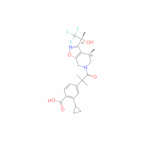 C[C@H]1CN(C(=O)C(C)(C)c2ccc(C(=O)O)c(C3CC3)c2)Cc2onc([C@@](C)(O)C(F)(F)F)c21